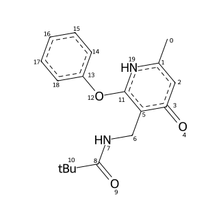 Cc1cc(=O)c(CNC(=O)C(C)(C)C)c(Oc2ccccc2)[nH]1